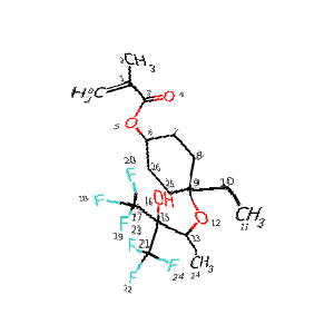 C=C(C)C(=O)OC1CCC(CC)(OC(C)C(O)(C(F)(F)F)C(F)(F)F)CC1